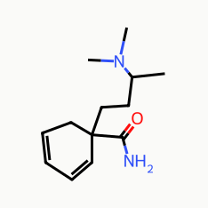 CC(CCC1(C(N)=O)C=CC=CC1)N(C)C